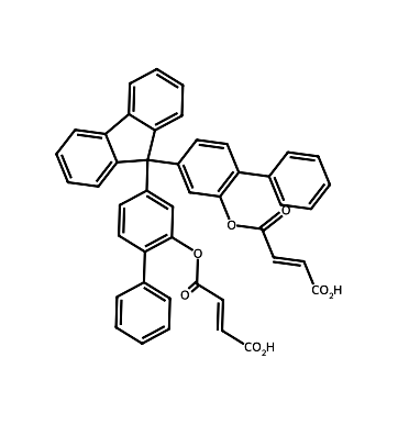 O=C(O)C=CC(=O)Oc1cc(C2(c3ccc(-c4ccccc4)c(OC(=O)C=CC(=O)O)c3)c3ccccc3-c3ccccc32)ccc1-c1ccccc1